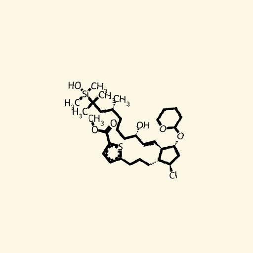 COC(=O)c1ccc(CCC[C@@H]2[C@@H](/C=C/[C@@H](O)CCC[C@@H](C)CC(C)(C)[Si](C)(C)O)[C@H](OC3CCCCO3)C[C@H]2Cl)s1